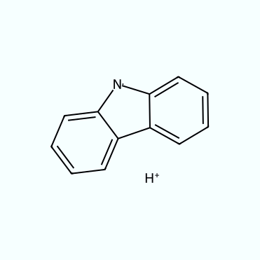 [H+].c1ccc2c(c1)[N]c1ccccc1-2